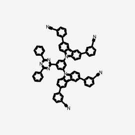 N#Cc1cccc(-c2ccc3c(c2)c2cc(-c4cccc(C#N)c4)ccc2n3-c2cc(-c3nc(-c4ccccc4)nc(-c4ccccc4)n3)cc(-n3c4ccc(-c5cccc(C#N)c5)cc4c4cc(-c5cccc(C#N)c5)ccc43)c2)c1